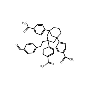 CC(=O)c1ccc(C23CCCC(c4ccc(C(C)=O)cc4)(C2)CC(CCc2ccc(C=O)cc2)(c2ccc(C(C)=O)cc2)C3)cc1